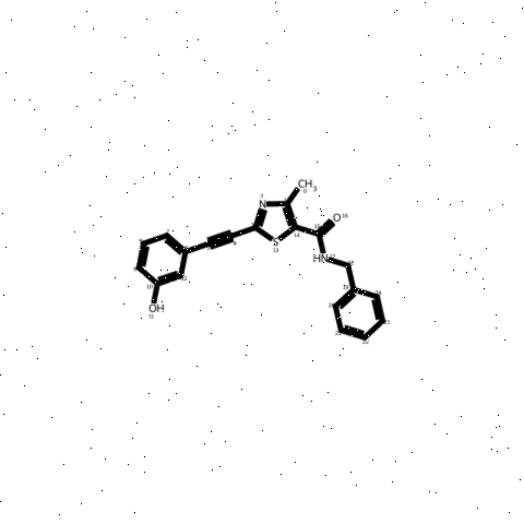 Cc1nc(C#Cc2cccc(O)c2)sc1C(=O)NCc1ccccc1